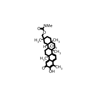 CNC(=O)OC[C@]1(C)CC[C@]2(C)CC[C@]3(C)C4=CC=C5C(=CC(=O)C(O)=C5C)[C@]4(C)CC[C@@]3(C)[C@@H]2C1